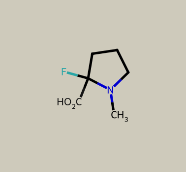 CN1CCCC1(F)C(=O)O